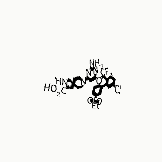 CCS(=O)(=O)c1cccc(-c2cc(Cl)ccc2C(Oc2cc(N3CCC4(CC3)CN[C@H](C(=O)O)C4)nc(N)n2)C(F)(F)F)c1